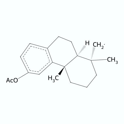 [CH2][C@]1(C)CCC[C@]2(C)c3cc(OC(C)=O)ccc3CC[C@@H]12